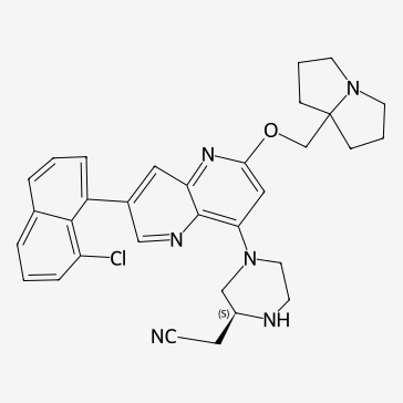 N#CC[C@H]1CN(c2cc(OCC34CCCN3CCC4)nc3cc(-c4cccc5cccc(Cl)c45)cnc23)CCN1